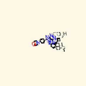 C[C@@H](Nc1nc(C(=O)O)nc2nc(-c3ccc(N4CCOCC4)cc3)n(Cc3ccc(C(F)(F)F)cc3)c12)C1CCC1